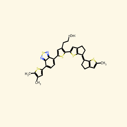 CCCCCCCCCCCCc1cc(-c2ccc(-c3cc(C)c(C)s3)c3nsnc23)sc1-c1cc2c(s1)/C(=C1\CCc3cc(C)sc31)CC2